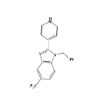 CC(C)Cn1c(C2=CCNC=C2)nc2cc(C(F)(F)F)ccc21